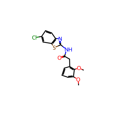 COc1cccc(CC(=O)Nc2nc3ccc(Cl)cc3s2)c1OC